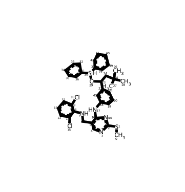 CSc1ncc(CNc2c(Cl)cccc2Cl)c(Nc2cccc(C(CC(C)(C)C)O[SiH](c3ccccc3)c3ccccc3)c2)n1